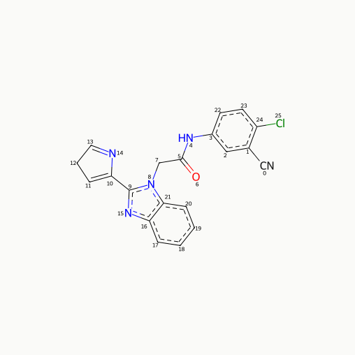 N#Cc1cc(NC(=O)Cn2c(C3=CCC=N3)nc3ccccc32)ccc1Cl